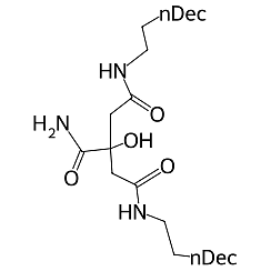 CCCCCCCCCCCCNC(=O)CC(O)(CC(=O)NCCCCCCCCCCCC)C(N)=O